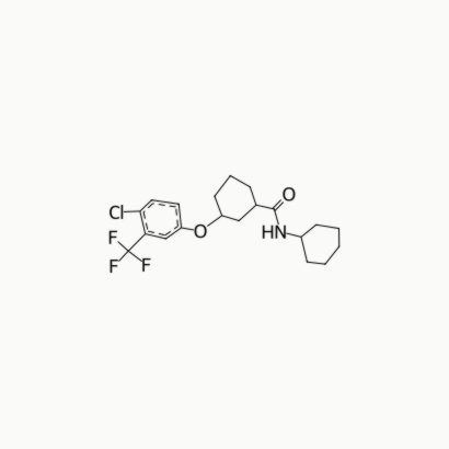 O=C(NC1CCCCC1)C1CCCC(Oc2ccc(Cl)c(C(F)(F)F)c2)C1